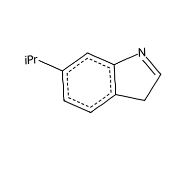 CC(C)c1ccc2c(c1)N=CC2